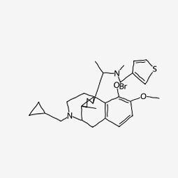 COc1ccc2c(c1Oc1ccsc1)C13CCN(CC4CC4)C(C2)C1(C)CCC3C(C)N(C)Br